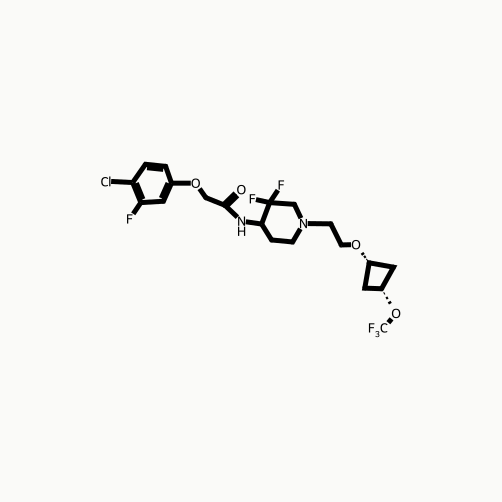 O=C(COc1ccc(Cl)c(F)c1)NC1CCN(CCO[C@H]2C[C@@H](OC(F)(F)F)C2)CC1(F)F